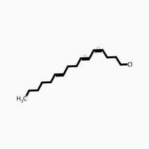 CCCCCC=CCC/C=C/C=C\CCCCl